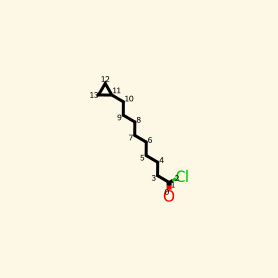 O=C(Cl)CCCCCCCCC1CC1